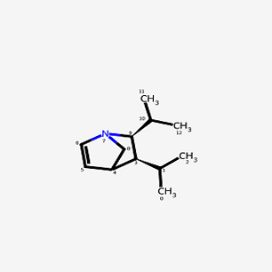 CC(C)[C@H]1C2C=CN(C2)[C@H]1C(C)C